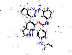 C=CC(=C)Nc1ccc(C(=O)Nc2cccc(Nc3nc(-c4cnc5[nH]ccc5c4)c4occc4n3)c2)cc1